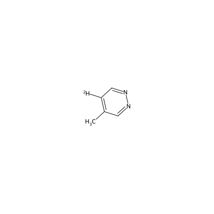 [2H]c1cnncc1C